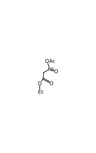 CCOC(=O)C[N+](=O)OC(C)=O